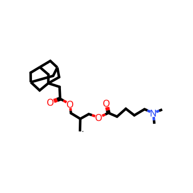 [CH2]C(COC(=O)CCCCN(C)C)COC(=O)CC12CC3CC(CC(C3)C1)C2